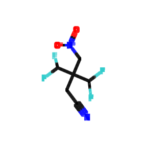 N#CCC(C[N+](=O)[O-])(C(F)F)C(F)F